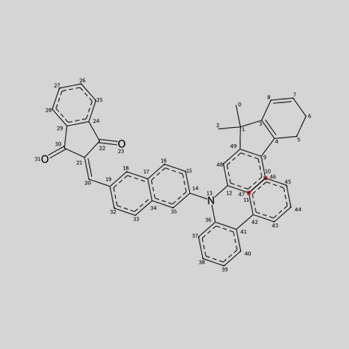 CC1(C)C2=C(CCC=C2)c2ccc(N(c3ccc4cc(C=C5C(=O)c6ccccc6C5=O)ccc4c3)c3ccccc3-c3ccccc3)cc21